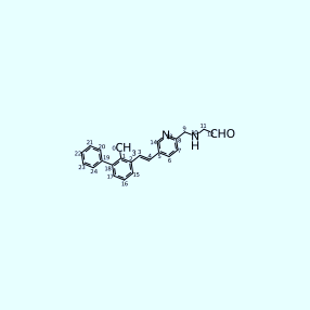 Cc1c(C=Cc2ccc(CNCC=O)nc2)cccc1-c1ccccc1